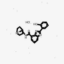 Cl.O=C(NC1CN2CCC1CC2)c1cccc2oc(-c3ccccc3O)nc12